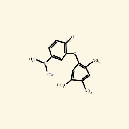 CN(C)c1ccc(Cl)c(Oc2cc(C(=O)O)c([N+](=O)[O-])cc2[N+](=O)[O-])c1